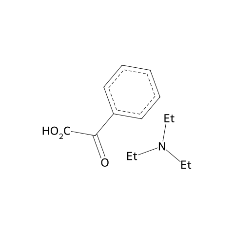 CCN(CC)CC.O=C(O)C(=O)c1ccccc1